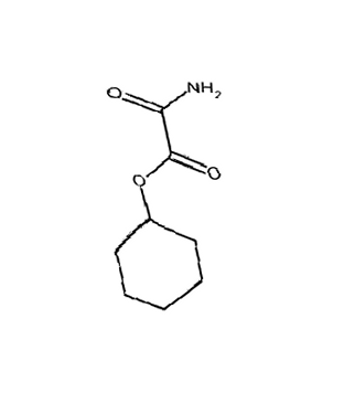 NC(=O)C(=O)OC1CCCCC1